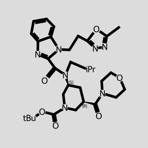 Cc1nnc(CCn2c(C(=O)N(CC(C)C)[C@H]3C[C@@H](C(=O)N4CCOCC4)CN(C(=O)OC(C)(C)C)C3)nc3ccccc32)o1